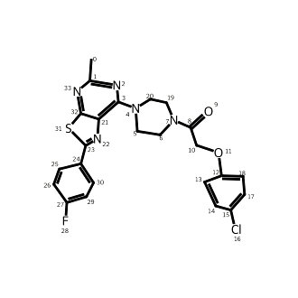 Cc1nc(N2CCN(C(=O)COc3ccc(Cl)cc3)CC2)c2nc(-c3ccc(F)cc3)sc2n1